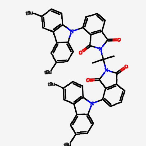 CC(C)(C)c1ccc2c(c1)c1cc(C(C)(C)C)ccc1n2-c1cccc2c1C(=O)N(C(C)(C)N1C(=O)c3cccc(-n4c5ccc(C(C)(C)C)cc5c5cc(C(C)(C)C)ccc54)c3C1=O)C2=O